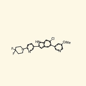 COc1cncc(-c2cc3cc(-c4ccc(N5CCC(F)(F)CC5)nc4)[nH]c3cc2Cl)c1